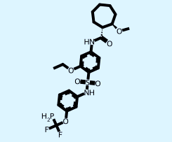 CCOc1cc(NC(=O)[C@@H]2CCCCC[C@H]2OC)ccc1S(=O)(=O)Nc1cccc(OC(F)(F)P)c1